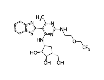 Cc1nc(NCCOCC(F)(F)F)nc(N[C@@H]2C[C@H](CO)[C@@H](O)[C@H]2O)c1-c1nc2ccccc2s1